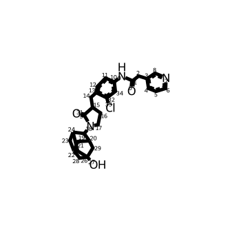 O=C(Cc1cccnc1)Nc1ccc(CC2CCN(C3C4CC5CC3CC(O)(C5)C4)C2=O)c(Cl)c1